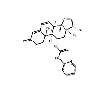 CC(=O)[C@H]1CC[C@H]2[C@@H]3C=CC4=CC(=O)CC[C@@]4(C)[C@@H]3[C@@H](OC(=O)Nc3ccccn3)C[C@]12C